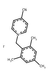 Cc1cc(C)c(C[n+]2ccc(C#N)cc2)c(C)c1.[I-]